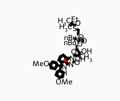 CCCCN(CCCC)P(=O)(OCCSC(=O)C(C)(C)CC)OC[C@H]1O[C@@H](n2ccc(NC(c3ccccc3)(c3ccc(OC)cc3)c3ccc(OC)cc3)nc2=O)C(C)(O)[C@H]1O